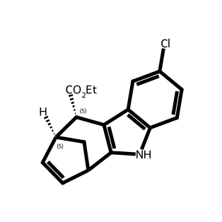 CCOC(=O)[C@@H]1c2c([nH]c3ccc(Cl)cc23)C2C=C[C@@H]1C2